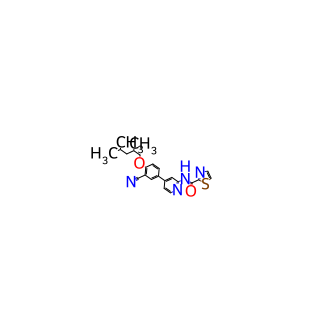 CC(C)CC(C)COc1ccc(-c2ccnc(NC(=O)c3nccs3)c2)cc1C#N